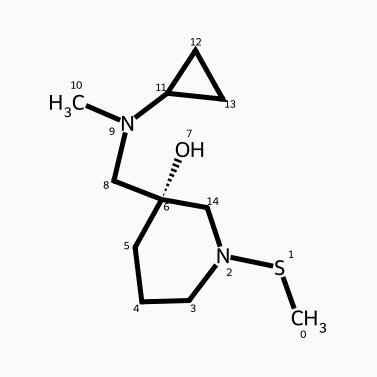 CSN1CCC[C@@](O)(CN(C)C2CC2)C1